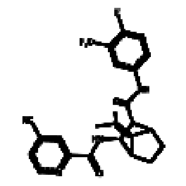 CC(C)=C1C2CCC1[C@H](C(=O)Nc1ccc(F)c(C(F)(F)F)c1)[C@@H]2NC(=O)c1cc(C#N)ccn1